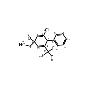 OCC1(O)C=C(Cl)C(c2ccccc2)C(C(F)(F)F)=C1